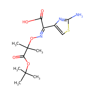 CC(C)(C)OC(=O)C(C)(C)ON=C(C(=O)O)c1csc(N)n1